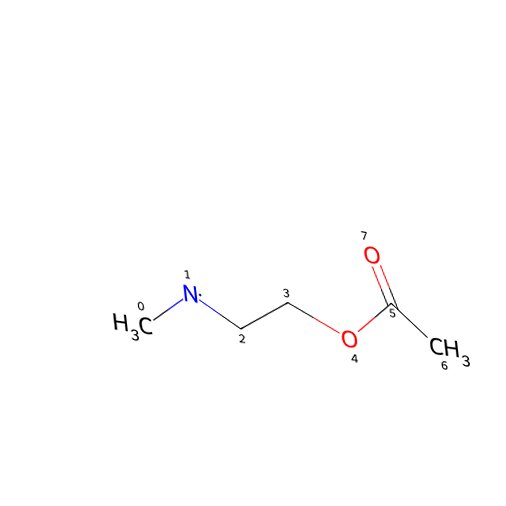 C[N]CCOC(C)=O